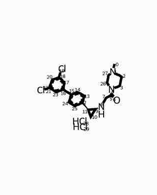 CN1CCN(C(=O)CN[C@@H]2C[C@H]2c2ccc(-c3cc(Cl)cc(Cl)c3)cc2)CC1.Cl.Cl